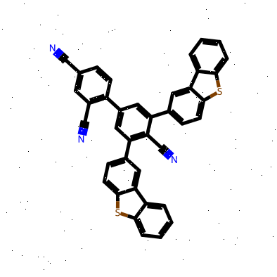 N#Cc1ccc(-c2cc(-c3ccc4sc5ccccc5c4c3)c(C#N)c(-c3ccc4sc5ccccc5c4c3)c2)c(C#N)c1